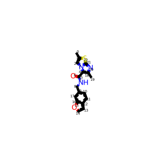 Cc1cn2c(C(=O)NCc3ccc4ccoc4c3)c(C)nc2s1